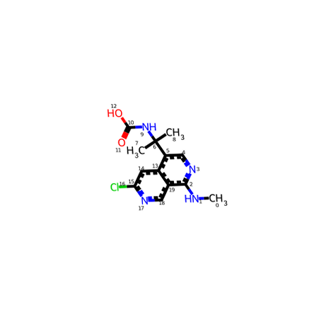 CNc1ncc(C(C)(C)NC(=O)O)c2cc(Cl)ncc12